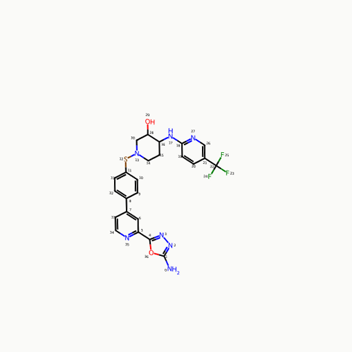 Nc1nnc(-c2cc(-c3ccc(SN4CCC(Nc5ccc(C(F)(F)F)cn5)C(O)C4)cc3)ccn2)o1